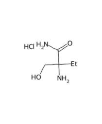 CCC(N)(CO)C(N)=O.Cl